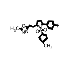 Cc1ccc(S(=O)(=O)N2C(CCc3nnc(C)o3)CCC2c2ccc(F)cc2)cc1